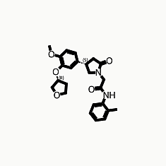 COc1ccc([C@@H]2CC(=O)N(CC(=O)Nc3ccccc3C)C2)cc1O[C@@H]1CCOC1